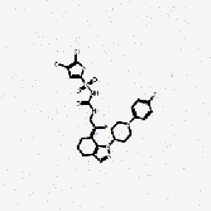 O=C(NC/C(F)=C1\CCCc2cnn(C3CCN(c4ccc(F)cc4)CC3)c21)NS(=O)(=O)c1cc(Cl)c(Cl)s1